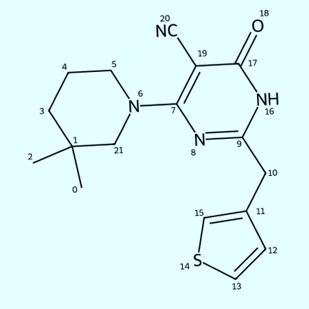 CC1(C)CCCN(c2nc(Cc3ccsc3)[nH]c(=O)c2C#N)C1